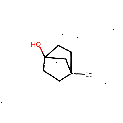 CCC12CCC(O)(CC1)C2